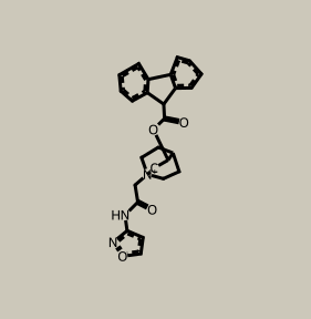 O=C(C[N+]12CCC(CC1)C(OC(=O)C1c3ccccc3-c3ccccc31)C2)Nc1ccon1